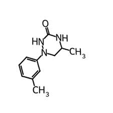 Cc1cccc(N2CC(C)NC(=O)N2)c1